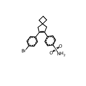 NS(=O)(=O)c1ccc(C2=C(c3ccc(Br)cc3)CC3(CCC3)C2)cc1